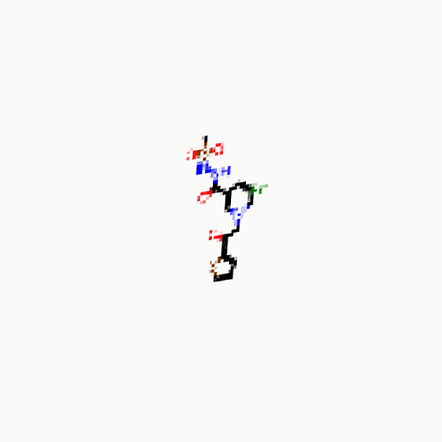 CS(=O)(=O)NNC(=O)c1ccc[n+](CC(=O)c2cccs2)c1.[Br-]